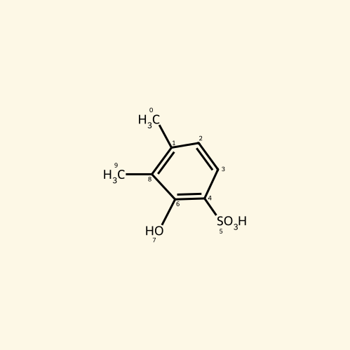 Cc1ccc(S(=O)(=O)O)c(O)c1C